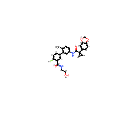 Cc1ccc(NC(=O)C2(c3ccc4c(c3)OCO4)CC2)cc1-c1ccc(F)c(C(=O)NCCO)c1